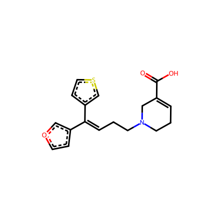 O=C(O)C1=CCCN(CCC=C(c2ccoc2)c2ccsc2)C1